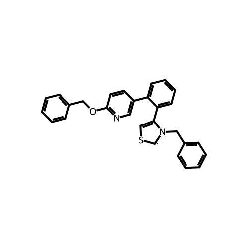 [CH]1SC=C(c2ccccc2-c2ccc(OCc3ccccc3)nc2)N1Cc1ccccc1